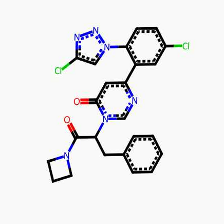 O=C(C(Cc1ccccc1)n1cnc(-c2cc(Cl)ccc2-n2cc(Cl)nn2)cc1=O)N1CCC1